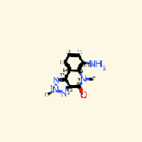 Cn1nc2c(=O)n(C)c3c(N)cccc3c2n1